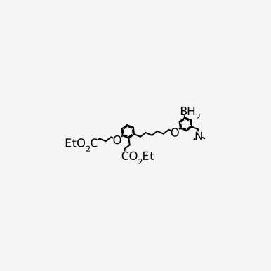 Bc1cc(CN(C)C)cc(OCCCCCCc2cccc(OCCCC(=O)OCC)c2CCC(=O)OCC)c1